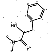 CN(C)C(=O)C(O)Cc1ccccc1